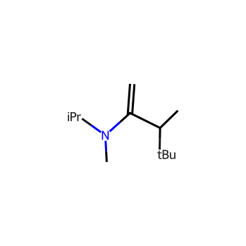 C=C(C(C)C(C)(C)C)N(C)C(C)C